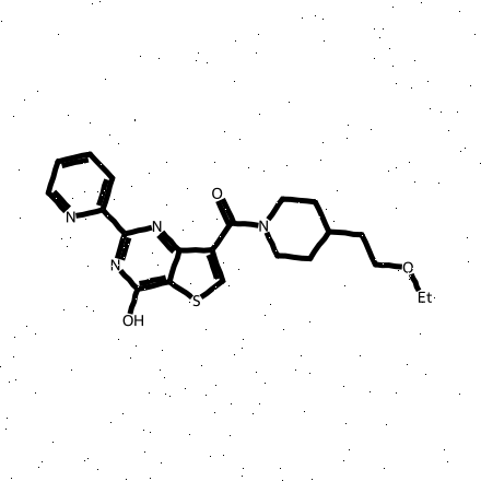 CCOCCC1CCN(C(=O)c2csc3c(O)nc(-c4ccccn4)nc23)CC1